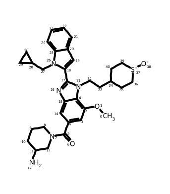 COc1cc(C(=O)N2CCCC(N)C2)cc2nc(-c3cc4ccccc4n3CC3CC3)n(CCC3CC[S+]([O-])CC3)c12